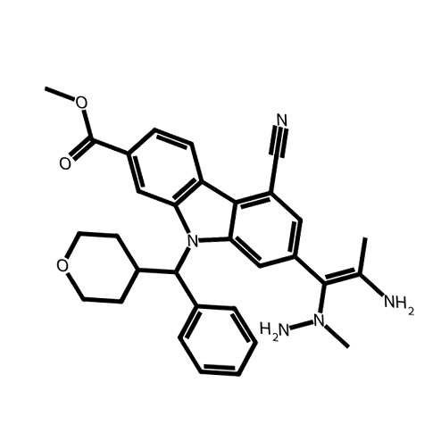 COC(=O)c1ccc2c3c(C#N)cc(/C(=C(\C)N)N(C)N)cc3n(C(c3ccccc3)C3CCOCC3)c2c1